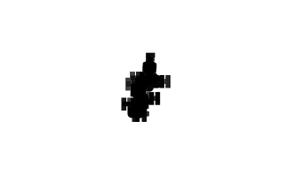 CC(C)OC(=O)Nc1n[nH]c2cc(NC(=O)N[C@@H](c3ccc(F)cc3)C(C)(C)O)ncc12